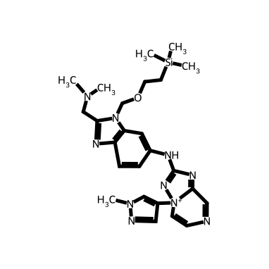 CN(C)Cc1nc2ccc(NC3=N[N+]4(c5cnn(C)c5)C=CN=CC4=N3)cc2n1COCC[Si](C)(C)C